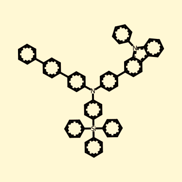 c1ccc(-c2ccc(-c3ccc(N(c4ccc(-c5ccc6c7ccccc7n(-c7ccccc7)c6c5)cc4)c4ccc([Si](c5ccccc5)(c5ccccc5)c5ccccc5)cc4)cc3)cc2)cc1